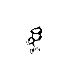 O=Cc1c(C(=O)NCl)ccc2ccccc12